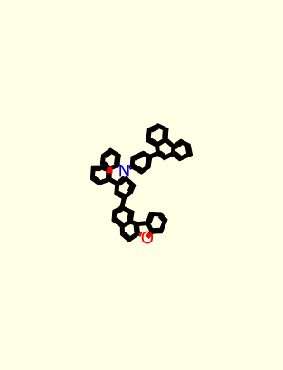 c1ccc(-c2cc(-c3ccc4ccc5oc6ccccc6c5c4c3)ccc2N(c2ccccc2)c2ccc(-c3cc4ccccc4c4ccccc34)cc2)cc1